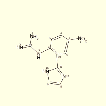 N=C(N)Nc1ccc([N+](=O)[O-])cc1-c1ncc[nH]1